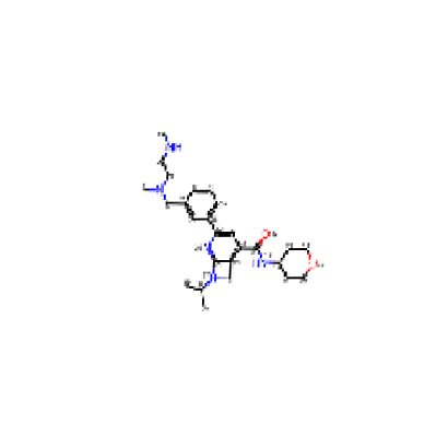 CNCCN(C)Cc1cccc(-c2cc(C(=O)NC3CCOCC3)c3c(n2)N(C(C)C)C3)c1